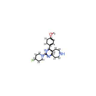 COC1=CC=C(c2nc(N3CCC(F)CC3)nc3c2CCNCC3)CC1